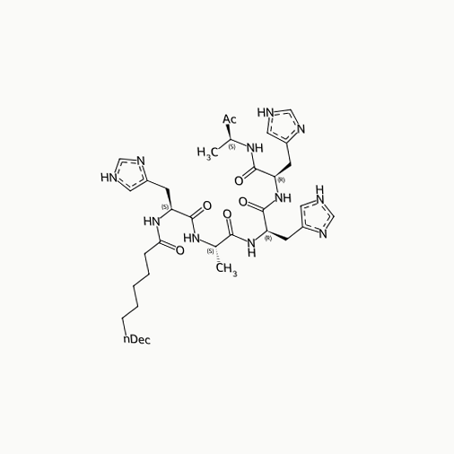 CCCCCCCCCCCCCCCC(=O)N[C@@H](Cc1c[nH]cn1)C(=O)N[C@@H](C)C(=O)N[C@H](Cc1c[nH]cn1)C(=O)N[C@H](Cc1c[nH]cn1)C(=O)N[C@@H](C)C(C)=O